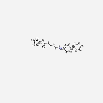 O=C(CCCC/C=C/c1ccc(-c2ccccc2)cc1)Cc1ncco1